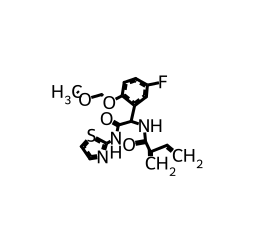 C=CC(=C)C(=O)NC(C(=O)Nc1nccs1)c1cc(F)ccc1OCOC